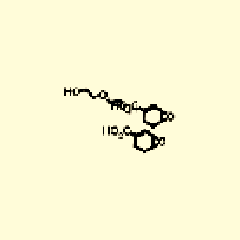 O=C(O)C1=CC2OC2CC1.O=C(O)C1=CC2OC2CC1.OCCOCCO